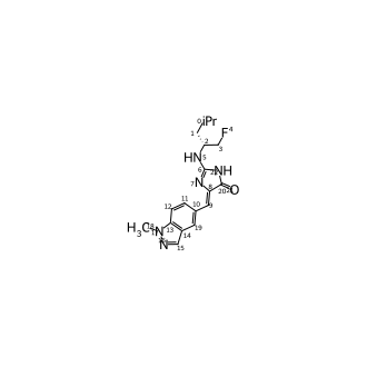 CC(C)C[C@H](CF)NC1=N/C(=C\c2ccc3c(cnn3C)c2)C(=O)N1